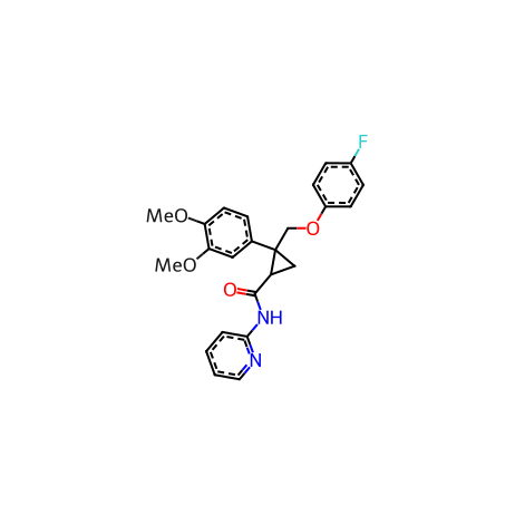 COc1ccc(C2(COc3ccc(F)cc3)CC2C(=O)Nc2ccccn2)cc1OC